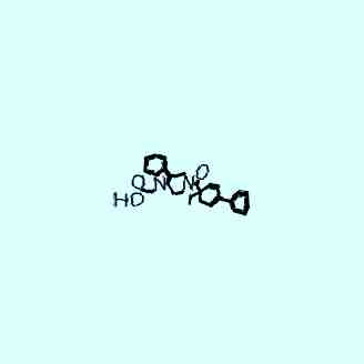 CCC1(C(=O)N2CCc3c(c4ccccc4n3CC(=O)O)C2)C=CC(c2ccccc2)=CC1